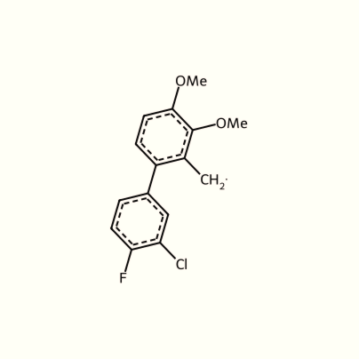 [CH2]c1c(-c2ccc(F)c(Cl)c2)ccc(OC)c1OC